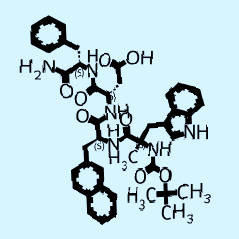 CC(C)(C)OC(=O)N[C@@](C)(Cc1c[nH]c2ccccc12)C(=O)N[C@@H](Cc1ccc2ccccc2c1)C(=O)N[C@@H](CC(=O)O)C(=O)N[C@@H](Cc1ccccc1)C(N)=O